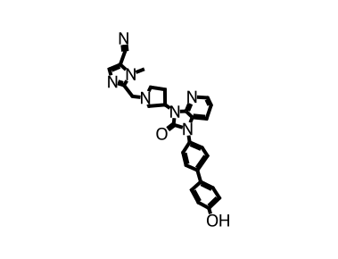 Cn1c(C#N)cnc1CN1CCC(n2c(=O)n(-c3ccc(-c4ccc(O)cc4)cc3)c3cccnc32)C1